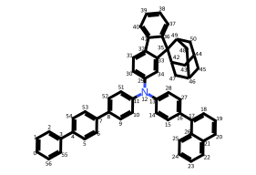 c1ccc(-c2ccc(-c3ccc(N(c4ccc(-c5cccc6ccccc56)cc4)c4ccc5c(c4)C4(c6ccccc6-5)C5CC6CC(C5)CC4C6)cc3)cc2)cc1